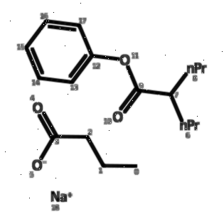 CCCC(=O)[O-].CCCC(CCC)C(=O)Oc1ccccc1.[Na+]